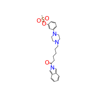 CS(=O)(=O)Oc1cccc(N2CCN(CCCCCC(=O)n3cc4ccccc4c3)CC2)c1